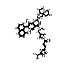 C[C@H](F)c1noc(/C=C/C(=O)N2CC(CN(C)c3nc(OCC45CCCN4CCC5)nc4c(F)c(-c5cccc6cccc(Cl)c56)ncc34)C2)n1